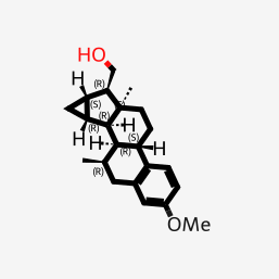 COc1ccc2c(c1)C[C@@H](C)[C@H]1[C@H]3[C@@H]4C[C@@H]4[C@@H](CO)[C@@]3(C)CC[C@H]21